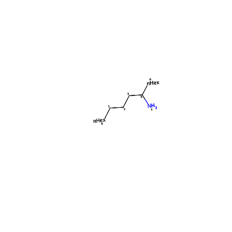 CCCCCCCCCC(N)CCCCCC